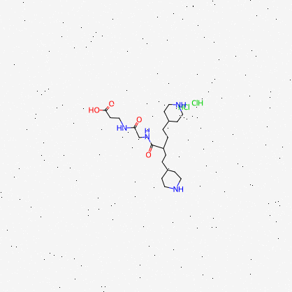 Cl.Cl.O=C(O)CCNC(=O)CNC(=O)C(CCC1CCNCC1)CCC1CCNCC1